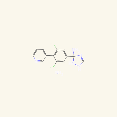 N.NC1(c2cc(Cl)c(-c3cccnc3)c(Cl)c2)N=CNN1